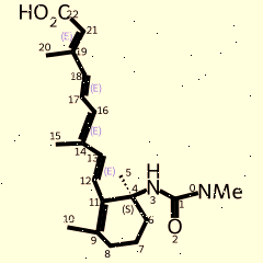 CNC(=O)N[C@@]1(C)CCCC(C)=C1/C=C/C(C)=C/C=C/C(C)=C/C(=O)O